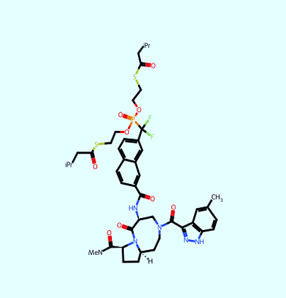 CNC(=O)[C@@H]1CC[C@@H]2CCN(C(=O)c3n[nH]c4ccc(C)cc34)C[C@H](NC(=O)c3ccc4ccc(C(F)(F)P(=O)(OCCSC(=O)CC(C)C)OCCSC(=O)CC(C)C)cc4c3)C(=O)N21